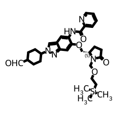 C[Si](C)(C)CCOCN1C(=O)CC[C@H]1COc1cc2nn(C3CCC(C=O)CC3)cc2cc1NC(=O)c1ccccn1